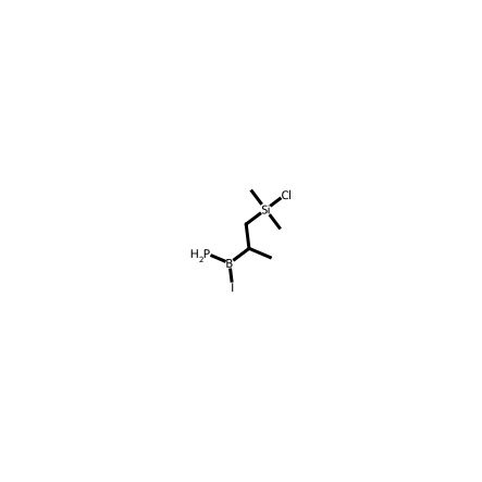 CC(C[Si](C)(C)Cl)B(P)I